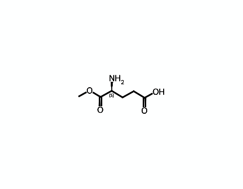 COC(=O)[C@@H](N)CCC(=O)O